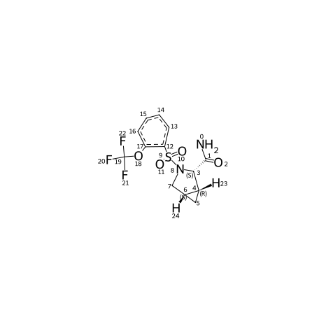 NC(=O)[C@@H]1[C@@H]2C[C@@H]2CN1S(=O)(=O)c1ccccc1OC(F)(F)F